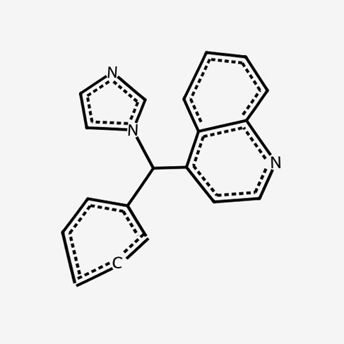 c1ccc(C(c2ccnc3ccccc23)n2ccnc2)cc1